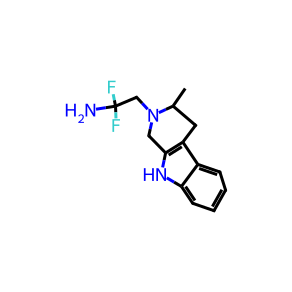 CC1Cc2c([nH]c3ccccc23)CN1CC(N)(F)F